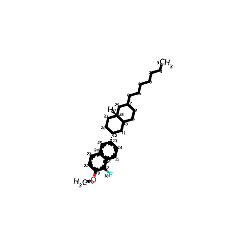 CCCCCCCC1CCC2C[C@H](c3ccc4c(F)c(OC)ccc4c3)CC[C@@H]2C1